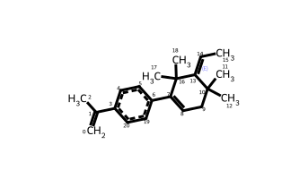 C=C(C)c1ccc(C2=CCC(C)(C)/C(=C\C)C2(C)C)cc1